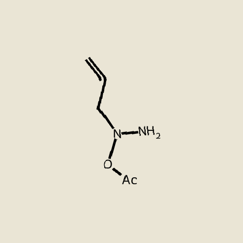 C=CCN(N)OC(C)=O